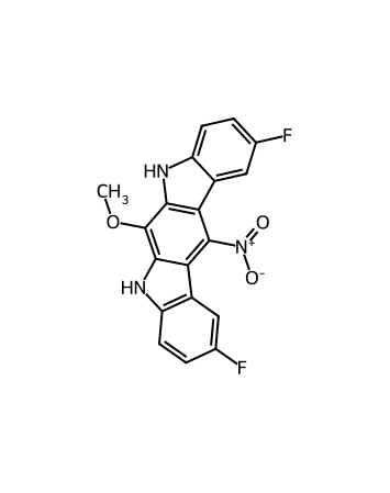 COc1c2[nH]c3ccc(F)cc3c2c([N+](=O)[O-])c2c1[nH]c1ccc(F)cc12